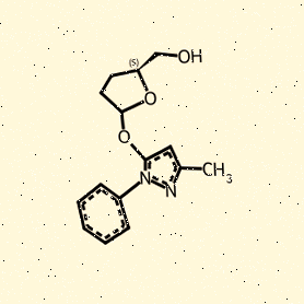 Cc1cc(OC2CC[C@@H](CO)O2)n(-c2ccccc2)n1